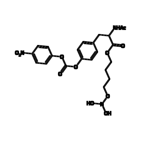 CC(=O)NC(Cc1ccc(OC(=O)Oc2ccc([N+](=O)[O-])cc2)cc1)C(=O)OCCCCON(O)O